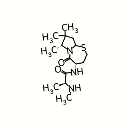 CN[C@@H](C)C(=O)N[C@H]1CCSC2CC(C)(C)[C@@H](C)N2C1=O